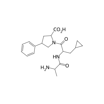 CC(N)C(=O)NC(CC1CC1)C(=O)N1CC(c2ccccc2)CC1C(=O)O